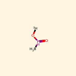 [2H]O[PH](B)=O